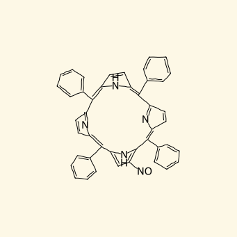 O=Nc1cc2[nH]c1c(-c1ccccc1)c1nc(c(-c3ccccc3)c3ccc([nH]3)c(-c3ccccc3)c3nc(c2-c2ccccc2)C=C3)C=C1